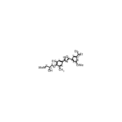 CCc1cc(-c2noc(-c3cc(OC)nc(C(CC)CC)c3)n2)cc(C)c1OC[C@@H](O)CNC